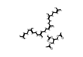 CC(=O)OCC(COC(C)=O)OC(C)=O.CC(C)=CCCC(C)=CCCC(C)=CCCC=C(C)CCC=C(C)CCC=C(C)C